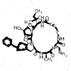 CCC(C)(C)[C@@H]1NC(=O)COCCNC(=O)[C@@H](CN)NC(=O)[C@@H](C)NC(=O)[C@@H](Cc2ccc(-c3ccccc3)cc2)NC(=O)[C@@H]2C[C@@H](O)CN2C1=O